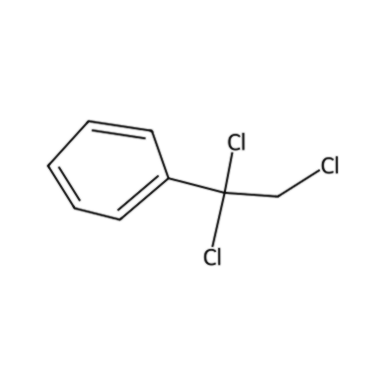 ClCC(Cl)(Cl)c1ccccc1